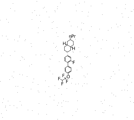 CCCC1CC[C@@H]2C[C@H](c3ccc(-c4ccc(OC(F)(F)C(F)F)cc4)c(F)c3)CC[C@@H]2C1